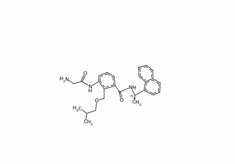 CC(C)COCc1c(NC(=O)CN)cccc1C(=O)N[C@H](C)c1cccc2ccccc12